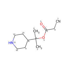 CC(C)(OC(=O)CC#N)C1CCNCC1